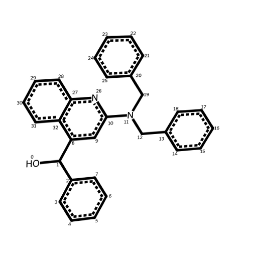 OC(c1ccccc1)c1cc(N(Cc2ccccc2)Cc2ccccc2)nc2ccccc12